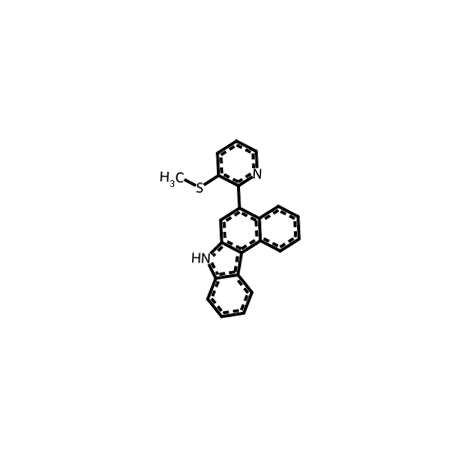 CSc1cccnc1-c1cc2[nH]c3ccccc3c2c2ccccc12